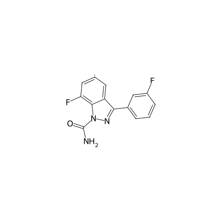 NC(=O)n1nc(-c2cccc(F)c2)c2c[c]cc(F)c21